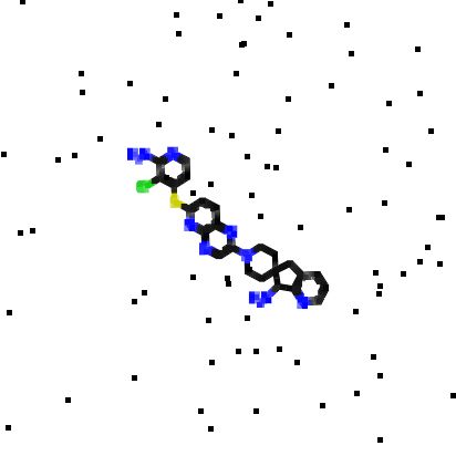 Nc1nccc(Sc2ccc3nc(N4CCC5(CC4)Cc4cccnc4C5N)cnc3n2)c1Cl